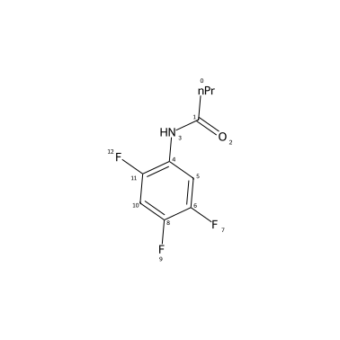 CCCC(=O)Nc1cc(F)c(F)cc1F